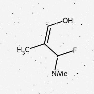 CNC(F)/C(C)=C\O